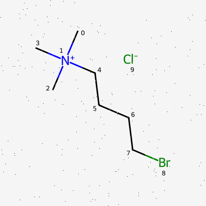 C[N+](C)(C)CCCCBr.[Cl-]